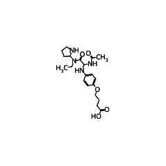 CCN(C(=O)C(NC(C)=O)Nc1ccc(OCCCC(=O)O)cc1)C1CCCN1